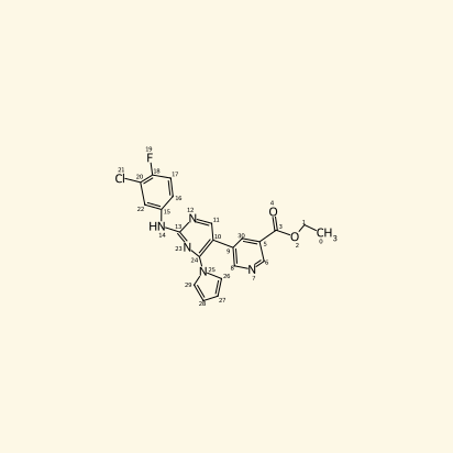 CCOC(=O)c1cncc(-c2cnc(Nc3ccc(F)c(Cl)c3)nc2-n2cccc2)c1